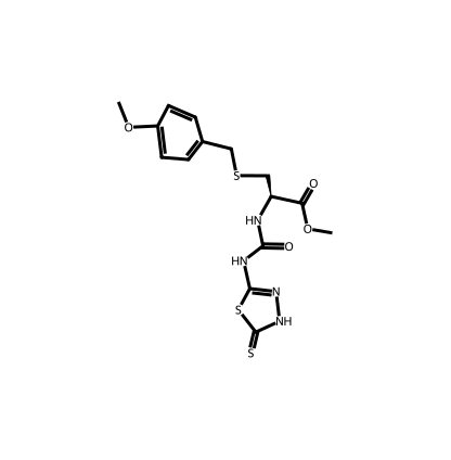 COC(=O)[C@H](CSCc1ccc(OC)cc1)NC(=O)Nc1n[nH]c(=S)s1